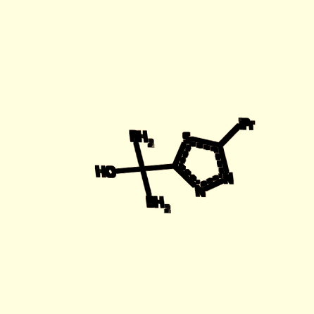 BC(B)(O)c1nnc(C(C)C)s1